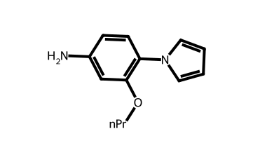 CCCOc1cc(N)ccc1-n1cccc1